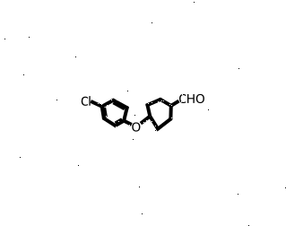 O=CC1CCC(Oc2ccc(Cl)cc2)CC1